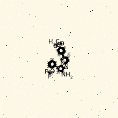 CS(=O)(=O)c1ccc(-c2cn3c4c(nc3cc2F)C(N)C[C@@H]4c2ccccc2OC(F)F)cc1